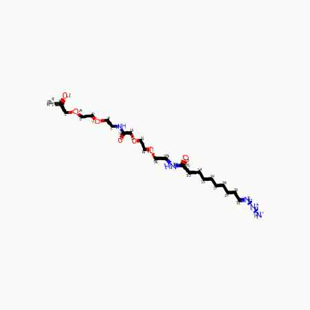 CC(C)C(=O)COCCOCCNC(=O)COCCOCCNC(=O)CCCCCCCCCN=[N+]=[N-]